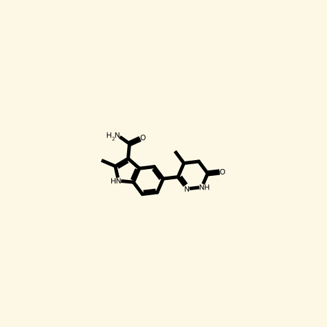 Cc1[nH]c2ccc(C3=NNC(=O)CC3C)cc2c1C(N)=O